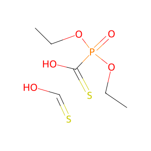 CCOP(=O)(OCC)C(O)=S.OC=S